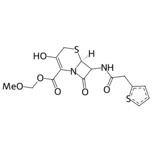 COCOC(=O)C1=C(O)CS[C@H]2C(NC(=O)Cc3cccs3)C(=O)N12